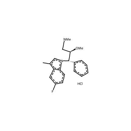 CNC[C@@H](OC)[C@H](c1ccccc1)n1cc(C)c2cc(F)ccc21.Cl